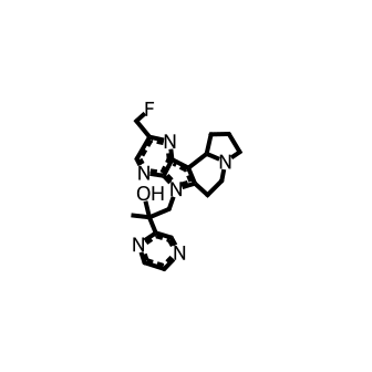 CC(O)(Cn1c2c(c3nc(CF)cnc31)C1CCCN1CC2)c1cnccn1